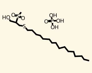 CCCCCCCCCCCCCCCCSCC(CO)S(C)(=O)=O.O=P(O)(O)O